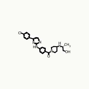 C[C@H](CO)NC1CCN(C(=O)c2ccc(Nc3nccc(-c4ccc(Cl)cc4)n3)cc2)CC1